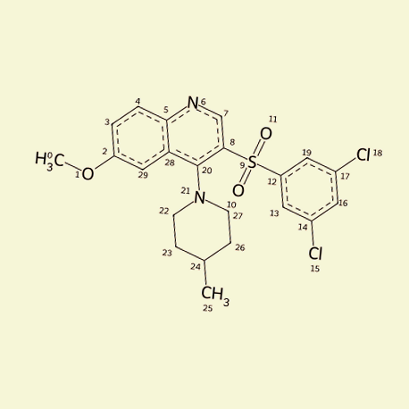 COc1ccc2ncc(S(=O)(=O)c3cc(Cl)cc(Cl)c3)c(N3CCC(C)CC3)c2c1